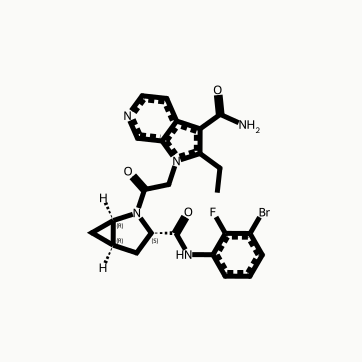 CCc1c(C(N)=O)c2ccncc2n1CC(=O)N1[C@@H]2C[C@@H]2C[C@H]1C(=O)Nc1cccc(Br)c1F